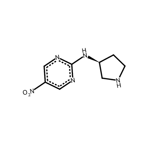 O=[N+]([O-])c1cnc(N[C@H]2CCNC2)nc1